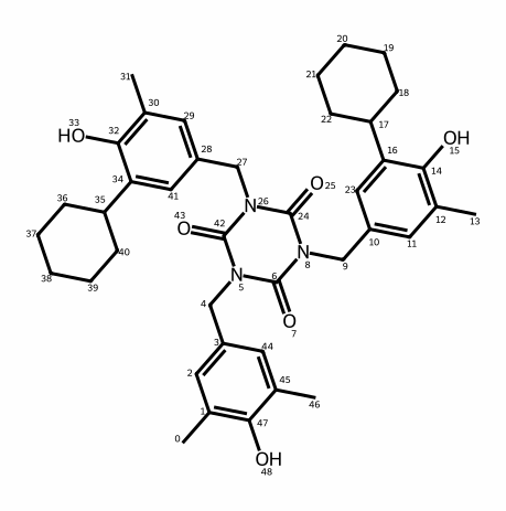 Cc1cc(Cn2c(=O)n(Cc3cc(C)c(O)c(C4CCCCC4)c3)c(=O)n(Cc3cc(C)c(O)c(C4CCCCC4)c3)c2=O)cc(C)c1O